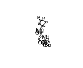 COCC(NC(=O)OC(C)(C)C)c1nc(-c2cccc(C)c2)no1